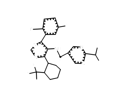 CC(C)c1ncc(C(=O)Nc2c(-c3cc(F)ccc3F)ncnc2C2CCCCC2C(F)(F)F)cn1